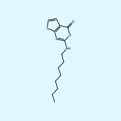 CCCCCCCCNc1nc2sccc2c(=O)o1